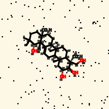 CC1(C)CC[C@]2(C(=O)O)CC[C@]3(C)C(=CCC4[C@@]5(C)C[C@@H](O)[C@H](O)[C@@](CO)(C(=O)O)C5CC[C@]43C)[C@@H]2[C@@H]1O